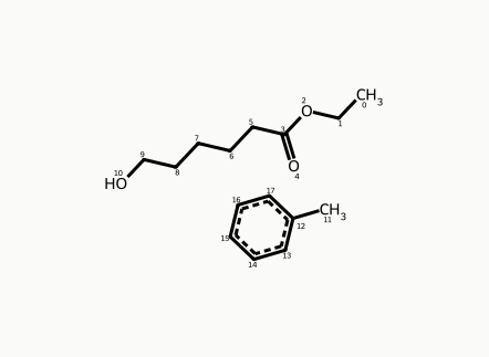 CCOC(=O)CCCCCO.Cc1ccccc1